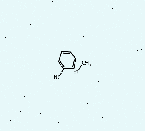 CCC.N#Cc1ccccc1